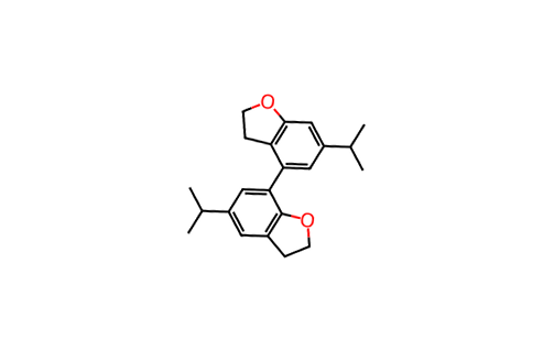 CC(C)c1cc2c(c(-c3cc(C(C)C)cc4c3OCC4)c1)CCO2